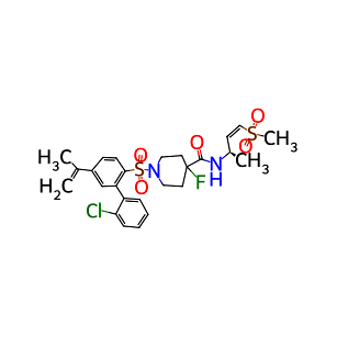 C=C(C)c1ccc(S(=O)(=O)N2CCC(F)(C(=O)N[C@H](C)/C=C\S(C)(=O)=O)CC2)c(-c2ccccc2Cl)c1